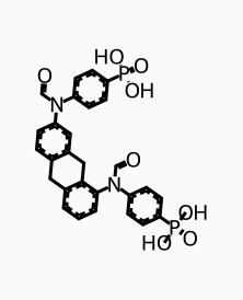 O=CN(c1ccc(P(=O)(O)O)cc1)c1ccc2c(c1)Cc1c(cccc1N(C=O)c1ccc(P(=O)(O)O)cc1)C2